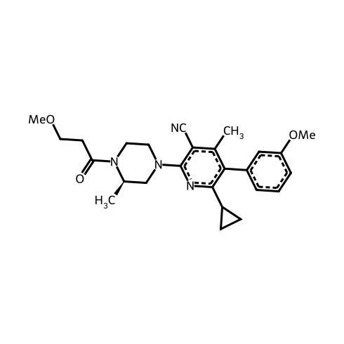 COCCC(=O)N1CCN(c2nc(C3CC3)c(-c3cccc(OC)c3)c(C)c2C#N)C[C@H]1C